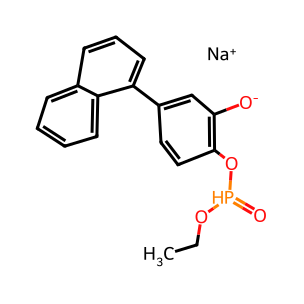 CCO[PH](=O)Oc1ccc(-c2cccc3ccccc23)cc1[O-].[Na+]